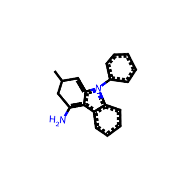 CC1C=c2c(c3ccccc3n2-c2ccccc2)=C(N)C1